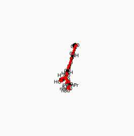 CCCCC(=O)N(CCC)C(CC(OCCC)c1nc(C(=O)NC(Cc2ccc(O)cc2)C[C@H](C)C(=O)NNC(=O)OCCOCCOCCOCCNC(=O)CCCCCN2C(=O)C=CC2=O)cs1)C(C)C